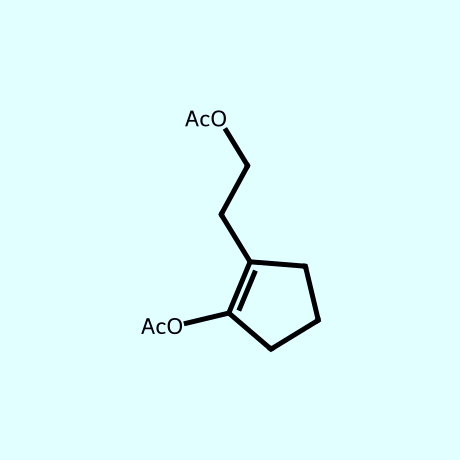 CC(=O)OCCC1=C(OC(C)=O)CCC1